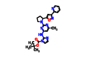 Cc1cc(Nc2nccn2C(=O)OC(C)(C)C)nc(N2CCCC2c2cc(-c3ccccn3)no2)n1